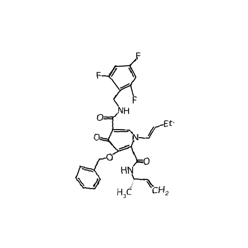 C=C[C@H](C)NC(=O)c1c(OCc2ccccc2)c(=O)c(C(=O)NCc2c(F)cc(F)cc2F)cn1C=C[CH]C